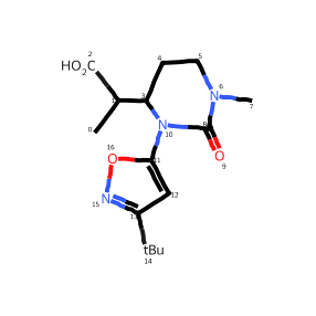 CC(C(=O)O)C1CCN(C)C(=O)N1c1cc(C(C)(C)C)no1